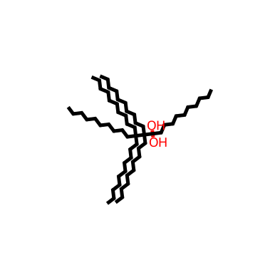 CCCCCCCCCCC(O)(O)C(CCCCCCCCCC)(CCCCCCCCCC)C(CCCCCCCCCC)(CCCCCCCCCC)CCCCCCCCCC